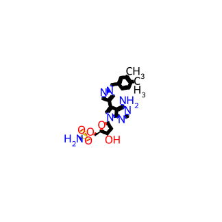 Cc1ccc(Cn2cc(-c3cn([C@H]4C[C@H](O)[C@@H](COS(N)(=O)=O)O4)c4ncnc(N)c34)cn2)cc1C